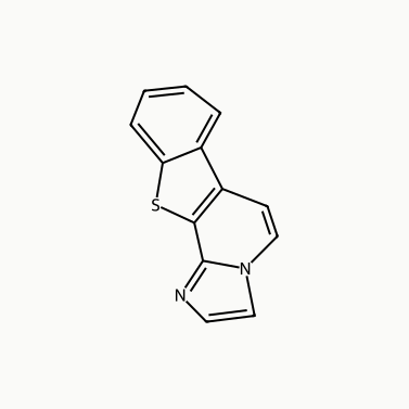 c1ccc2c(c1)sc1c2ccn2ccnc12